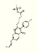 CS(=O)(=O)OC(=O)CCCCc1nc2cc(/C=N/O)ccc2c(=O)n1-c1ccc(F)cc1